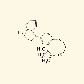 C=C1/C=C\CCCc2ccc(C3=c4ccccc4=C(I)CC3)cc2C1(C)C